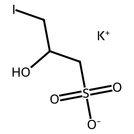 O=S(=O)([O-])CC(O)CI.[K+]